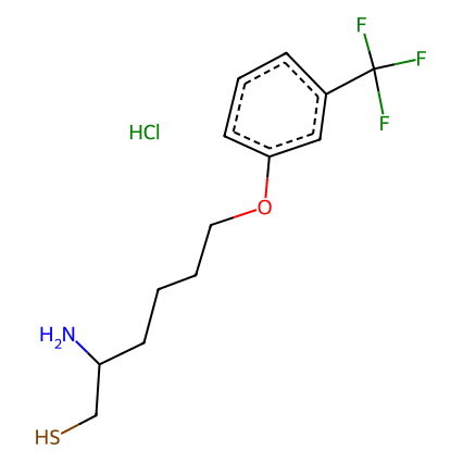 Cl.NC(CS)CCCCOc1cccc(C(F)(F)F)c1